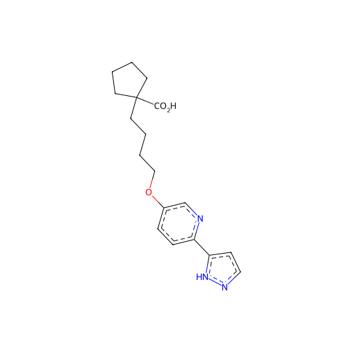 O=C(O)C1(CCCCOc2ccc(-c3ccn[nH]3)nc2)CCCC1